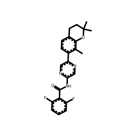 Cc1c(-c2cnc(NC(=O)c3c(F)cccc3F)cn2)ccc2c1OC(C)(C)CC2